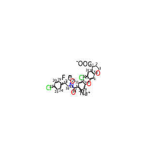 O=C([O-])C1CCOc2cc(Oc3ccc(C(=O)N(CCc4ccc(Cl)cc4)OC(F)(F)F)cc3)c(Cl)cc21.[Na+]